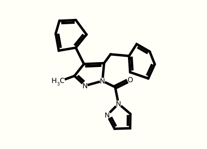 Cc1nn(C(=O)n2cccn2)c(Cc2ccccc2)c1-c1ccccc1